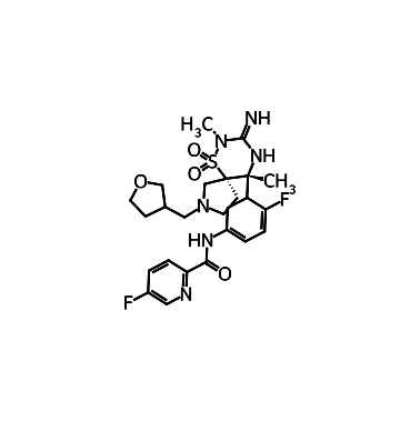 CN1C(=N)N[C@](C)(C2CC(NC(=O)c3ccc(F)cn3)=CC=C2F)[C@]2(CCN(CC3CCOC3)C2)S1(=O)=O